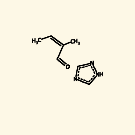 CC=C(C)C=O.c1nc[nH]n1